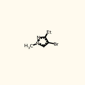 CCc1nn(C)[c]c1Br